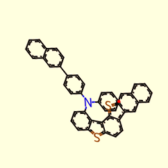 c1ccc(N(c2ccc(-c3ccc4ccccc4c3)cc2)c2cccc3sc4ccc5c6cc7ccccc7cc6sc5c4c23)cc1